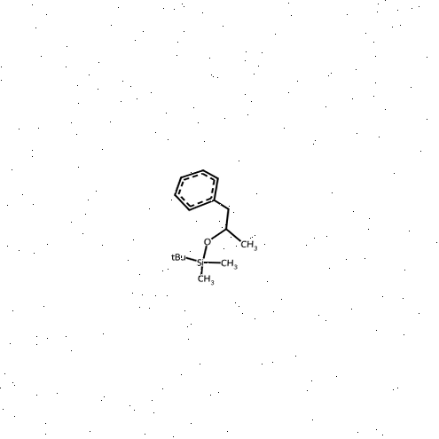 CC(Cc1ccccc1)O[Si](C)(C)C(C)(C)C